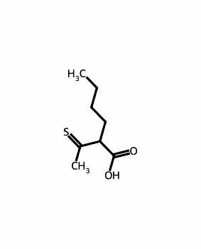 CCCCC(C(=O)O)C(C)=S